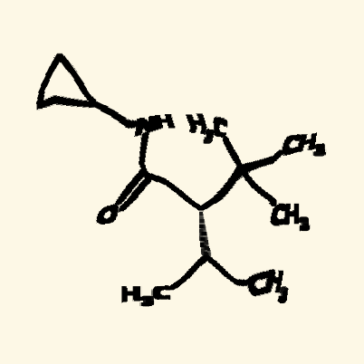 CC(C)[C@H](C(=O)NC1CC1)C(C)(C)C